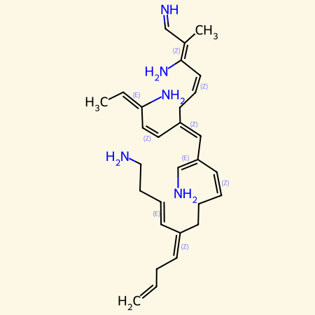 C=CC/C=C(\C=C\CCN)CC\C=C/C(/C=C(\C=C/C(N)=C\C)C/C=C\C(N)=C(/C)C=N)=C\N